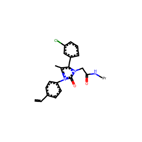 C=Cc1ccc(-n2c(C)c(-c3cccc(Cl)c3)n(CC(=O)NC(C)C)c2=O)cc1